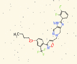 CCCCOc1ccc(-c2cc(CN3Cc4nc(-c5cccc(F)c5F)[nH]c4C=N3)on2)c(C(F)(F)F)c1